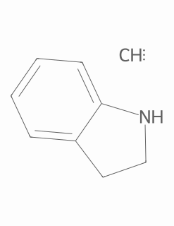 [CH].c1ccc2c(c1)CCN2